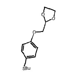 CC(C)(C)c1ccc(OCC2OCCO2)cc1